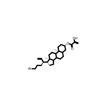 C=C[C@H](CCCC(C)C)[C@H]1CCC2C3CCC4C[C@@H](OC(=O)C(=C)O)CC[C@]4(C)C3CC[C@@]21C